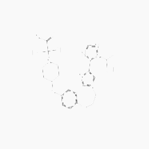 CC(C)n1ncnc1-c1cn2c(n1)-c1cc(SC3CCN(C(C)(C)C(N)=O)CC3)ccc1OCC2